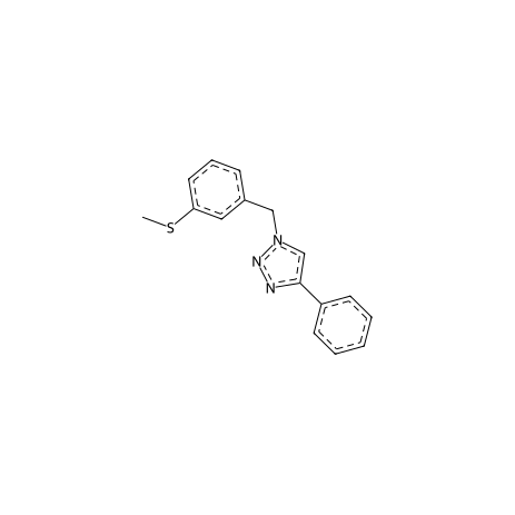 CSc1cccc(Cn2cc(-c3ccccc3)nn2)c1